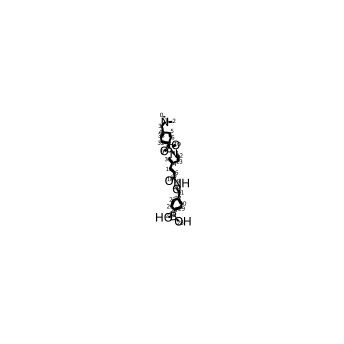 CN(C)Cc1ccc(S(=O)(=O)n2ccc(/C=C/C(=O)NOCc3ccc(B(O)O)cc3)c2)cc1